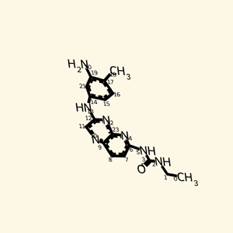 CCNC(=O)Nc1ccc2ncc(Nc3ccc(C)c(N)c3)nc2n1